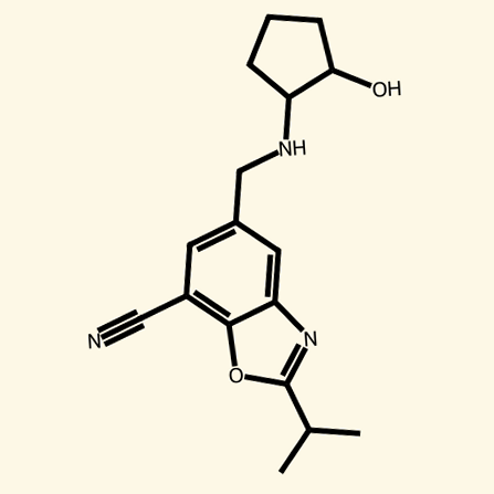 CC(C)c1nc2cc(CNC3CCCC3O)cc(C#N)c2o1